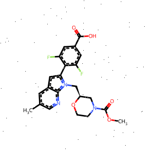 COC(=O)N1CCO[C@@H](Cn2c(-c3c(F)cc(C(=O)O)cc3F)cc3cc(C)cnc32)C1